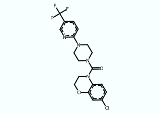 O=C(N1CCN(c2ccc(C(F)(F)F)cn2)CC1)N1CCOc2cc(Cl)ccc21